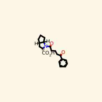 O=C(CCCC(=O)N1[C@H](C(=O)O)C[C@@H]2CCC[C@@H]21)c1ccccc1